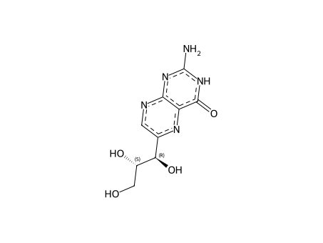 Nc1nc2ncc([C@@H](O)[C@@H](O)CO)nc2c(=O)[nH]1